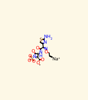 C=CCON=C(C(=O)N[C@@H]1C(=O)N(S(=O)(=O)[O-])[C@@H]1C(=O)OC)c1csc(N)n1.[Na+]